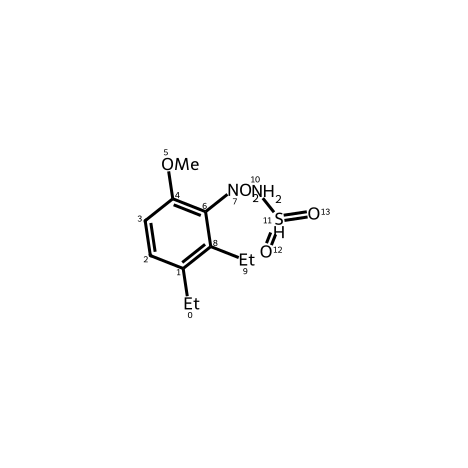 CCc1ccc(OC)c([N+](=O)[O-])c1CC.N[SH](=O)=O